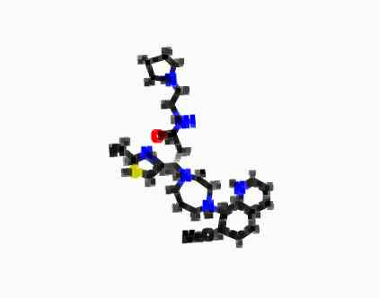 COc1ccc2cccnc2c1N1CCCN([C@@H](CC(=O)NCCN2CCCC2)c2csc(C(C)C)n2)CC1